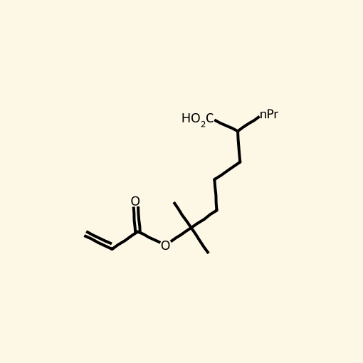 C=CC(=O)OC(C)(C)CCCC(CCC)C(=O)O